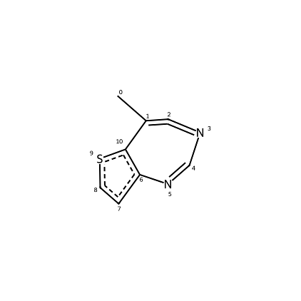 CC1=C=NC=Nc2ccsc21